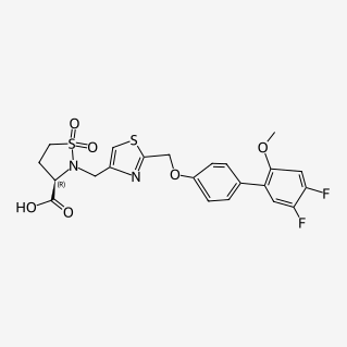 COc1cc(F)c(F)cc1-c1ccc(OCc2nc(CN3[C@@H](C(=O)O)CCS3(=O)=O)cs2)cc1